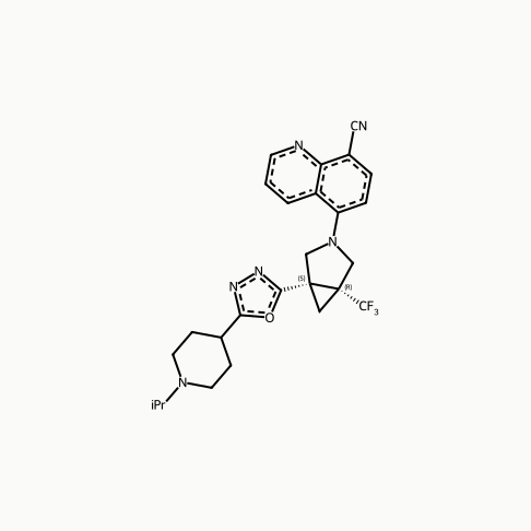 CC(C)N1CCC(c2nnc([C@]34CN(c5ccc(C#N)c6ncccc56)C[C@@]3(C(F)(F)F)C4)o2)CC1